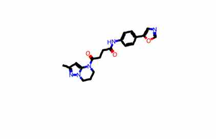 Cc1cc2n(n1)CCCN2C(=O)CCC(=O)Nc1ccc(-c2cnco2)cc1